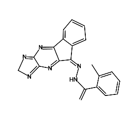 C=C(N/N=C1/c2ccccc2-c2nc3c(nc21)=NCN=3)c1ccccc1C